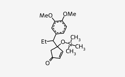 CCC(c1ccc(OC)c(OC)c1)C1(O[Si](C)(C)C)C=CC(=O)C1